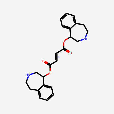 O=C(/C=C/C(=O)OC1CNCCc2ccccc21)OC1CNCCc2ccccc21